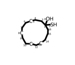 OC1(S)CCCCCCCCCCCCCC1